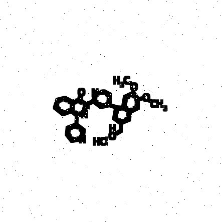 COc1cc2cc(CO)cc(-c3ccnc(-n4nc(-c5cccnc5)c5ccccc5c4=O)c3)c2cc1OC.Cl